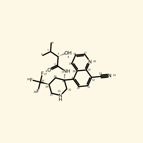 CC(C)[C@H](O)C(=O)N[C@]1(c2ccc(C#N)c3ncccc23)CNC[C@@H](C(F)(F)F)C1